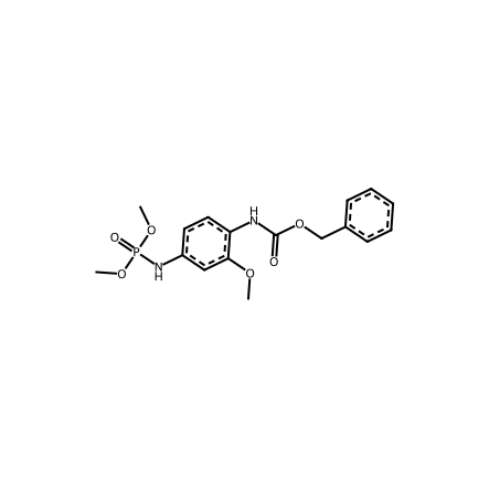 COc1cc(NP(=O)(OC)OC)ccc1NC(=O)OCc1ccccc1